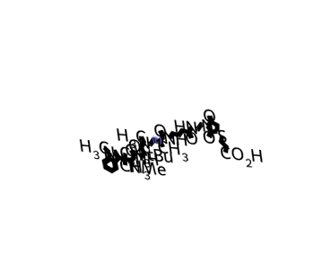 CN[C@H](C(=O)NC(C(=O)N(C)C/C=C(\C)C(=O)NCCCC(=O)NCCN1C(=O)CC(SCCC(=O)O)C1=O)C(C)(C)C)C(C)(C)c1cn(C)c2ccccc12